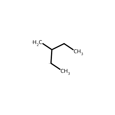 [CH2]C([CH]C)CC